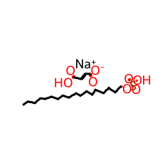 CCCCCCCCCCCCCCCCCCOS(=O)(=O)O.O=C([O-])C=CC(=O)O.[Na+]